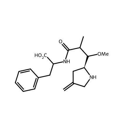 C=C1CN[C@H](C(OC)C(C)C(=O)NC(Cc2ccccc2)C(=O)O)C1